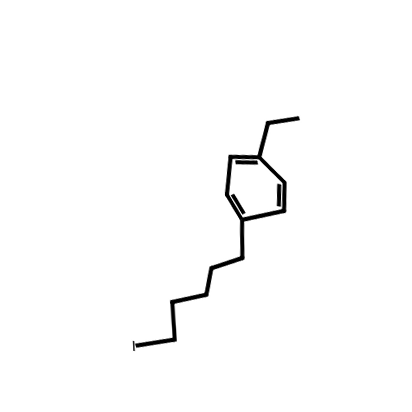 CCc1ccc(CCCCCI)cc1